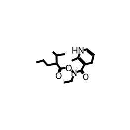 CCCC(C(=O)ON(CC)C(=O)C1=C(C)NC=CC1)C(C)C